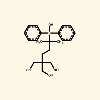 CC(C)(CCC(CO)(CN=O)CN=O)[Si](O)(c1ccccc1)c1ccccc1